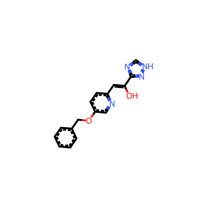 OC(=Cc1ccc(OCc2ccccc2)cn1)c1nc[nH]n1